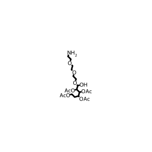 CC(=O)OCCC(OC(C)=O)C(OC(C)=O)C(OC(C)=O)C(O)OCCOCCOCCN